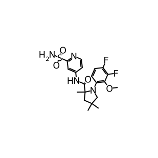 COc1c(N2CC(C)(C)CC2(C)C(=O)Nc2ccnc(S(N)(=O)=O)c2)ccc(F)c1F